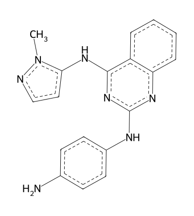 Cn1nccc1Nc1nc(Nc2ccc(N)cc2)nc2ccccc12